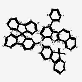 CC1(C)C2=C(C=CCC2)c2ccc(N(c3ccc4c(c3)C3(c5ccccc5-c5ccccc53)c3ccccc3-4)c3ccc(-c4ccccc4)c4c3oc3c5ccccc5ccc34)cc21